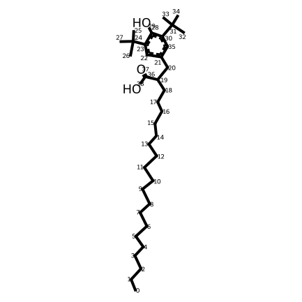 CCCCCCCCCCCCCCCCCCCC(Cc1cc(C(C)(C)C)c(O)c(C(C)(C)C)c1)C(=O)O